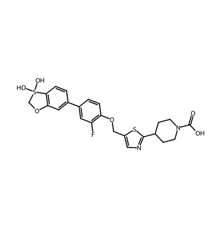 O=C(O)N1CCC(c2ncc(COc3ccc(-c4ccc5c(c4)OCS5(O)O)cc3F)s2)CC1